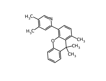 Cc1cnc(-c2ccc(C)c3c2Oc2ccccc2C3(C)C)cc1C